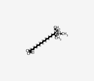 CCO[Si](CCCCCCCCCCCCCCCCCC(Cl)(Cl)Cl)(OCC)OCC